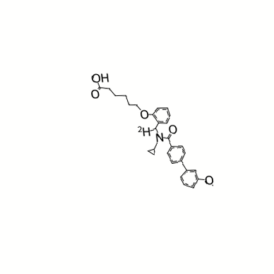 [2H]C(c1ccccc1OCCCCCC(=O)O)N(C(=O)c1ccc(-c2cccc(OC)c2)cc1)C1CC1